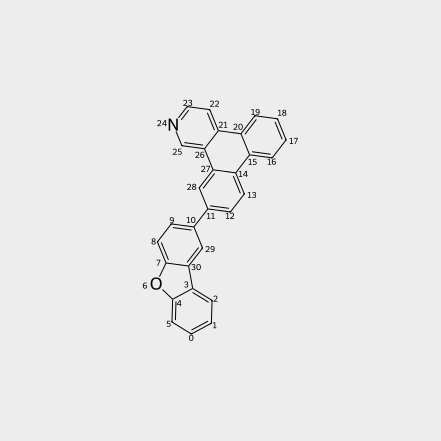 c1ccc2c(c1)oc1ccc(-c3ccc4c5ccccc5c5ccncc5c4c3)cc12